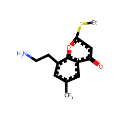 CCSc1cc(=O)c2cc(C(F)(F)F)cc(CCN)c2o1